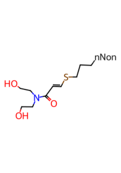 CCCCCCCCCCCCSC=CC(=O)N(CCO)CCO